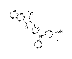 N#Cc1ccc(N(c2ccccc2)c2ccc(C=C3C(=O)c4cc5ccccc5cc4C3=O)s2)cc1